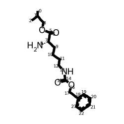 CC(C)COC(=O)[C@@H](N)CCCCNC(=O)OCc1ccccc1